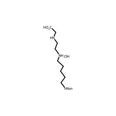 CCCCCCCCCCCCCCNCCNCC(=O)O.Cl